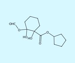 O=[C]OC1(O)CCCCC1(O)C(=O)OC1CCCC1